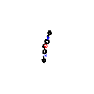 C(=N\c1ccc(-c2ccc(-c3ccc(/N=C/c4ccccc4)cc3)o2)cc1)/c1ccccc1